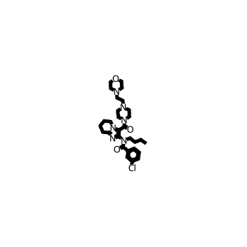 CCCCN(C(=O)c1cccc(Cl)c1)c1nc2n(c1C(=O)N1CCN(CCN3CCOCC3)CC1)CCCC2